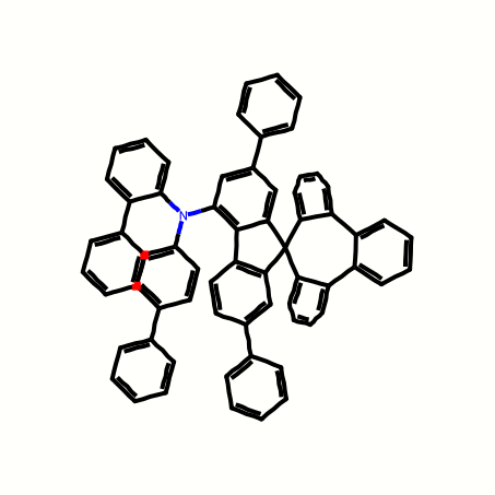 c1ccc(-c2ccc(N(c3ccccc3-c3ccccc3)c3cc(-c4ccccc4)cc4c3-c3ccc(-c5ccccc5)cc3C43c4ccccc4-c4ccccc4-c4ccccc43)cc2)cc1